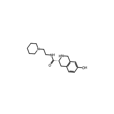 O=C(NCCN1CCCCC1)[C@H]1Cc2ccc(O)cc2CN1